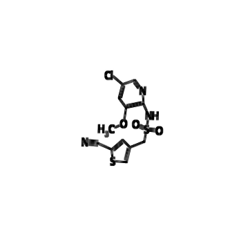 COc1cc(Cl)cnc1NS(=O)(=O)Cc1csc(C#N)c1